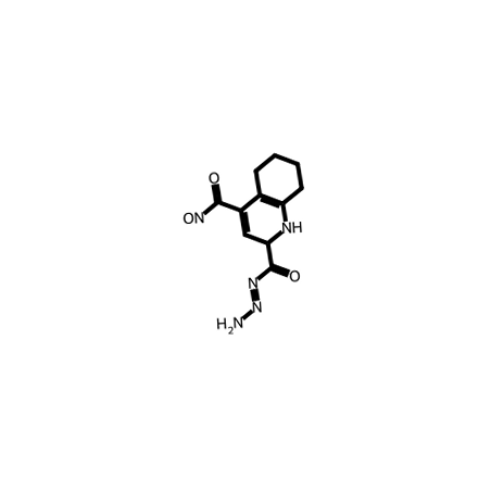 NN=NC(=O)C1C=C(C(=O)N=O)C2=C(CCCC2)N1